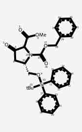 COC(=O)C1C(=O)C[C@@H](CO[Si](c2ccccc2)(c2ccccc2)C(C)(C)C)N1C(=O)OCc1ccccc1